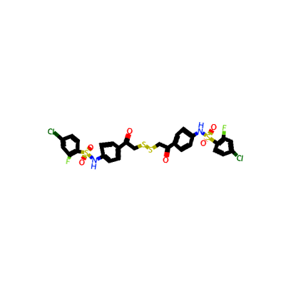 O=C(CSSCC(=O)c1ccc(NS(=O)(=O)c2ccc(Cl)cc2F)cc1)c1ccc(NS(=O)(=O)c2ccc(Cl)cc2F)cc1